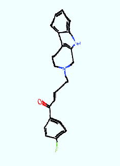 O=C(CCCN1CCc2c([nH]c3ccccc23)C1)c1ccc(F)cc1